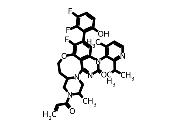 C=CC(=O)N1CC2CCOc3c(F)c(-c4c(O)ccc(F)c4F)cc4c3c(nc(=O)n4-c3c(C)ccnc3C(C)C)N2CC1C